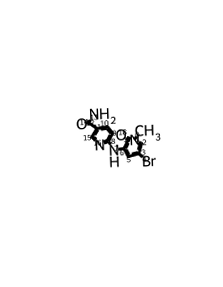 Cn1cc(Br)cc(Nc2ccc(C(N)=O)cn2)c1=O